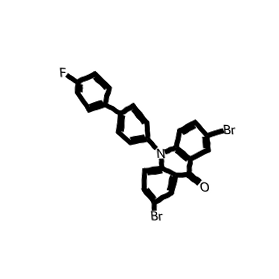 O=c1c2cc(Br)ccc2n(-c2ccc(-c3ccc(F)cc3)cc2)c2ccc(Br)cc12